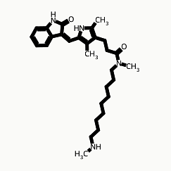 CNCCCCCCCCCN(C)C(=O)CCc1c(C)[nH]c(C=C2C(=O)Nc3ccccc32)c1C